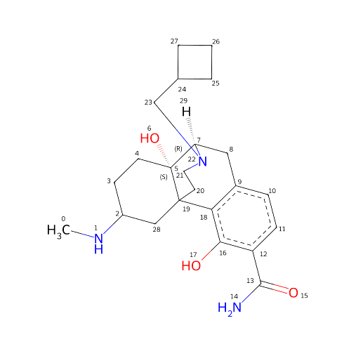 CNC1CC[C@@]2(O)[C@H]3Cc4ccc(C(N)=O)c(O)c4C2(CCN3CC2CCC2)C1